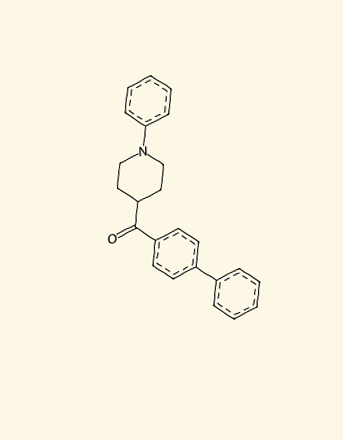 O=C(c1ccc(-c2ccccc2)cc1)C1CCN(c2ccccc2)CC1